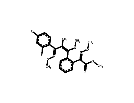 CON=C(C(C)=C(ON)c1ccccc1C(=NOC)C(=O)OC)c1ccc(F)cc1F